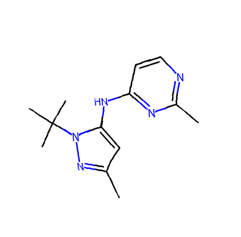 Cc1cc(Nc2ccnc(C)n2)n(C(C)(C)C)n1